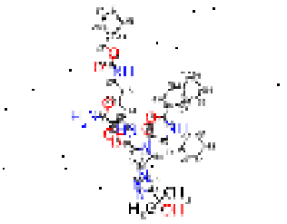 CC(C)(O)c1cn([C@@H]2C[C@@H](C(=O)NC(CCCCNC(=O)OCc3ccccc3)C(O)C(N)=O)N(C(=O)[C@@H](CC3CCCCC3)NC(=O)c3ccc4ccccc4c3)C2)nn1